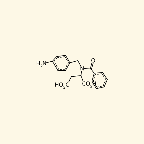 Nc1ccc(CN(C(=O)c2ccccc2)C(CC(=O)O)C(=O)O)cc1